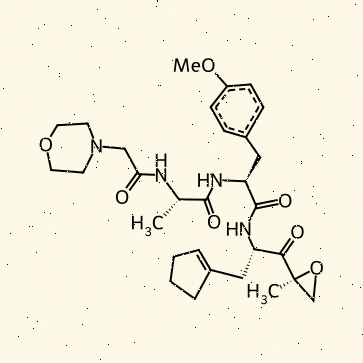 COc1ccc(C[C@H](NC(=O)[C@H](C)NC(=O)CN2CCOCC2)C(=O)N[C@@H](CC2=CCCC2)C(=O)[C@]2(C)CO2)cc1